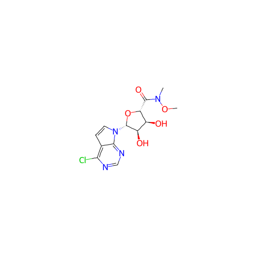 CON(C)C(=O)[C@H]1O[C@@H](n2ccc3c(Cl)ncnc32)[C@H](O)[C@@H]1O